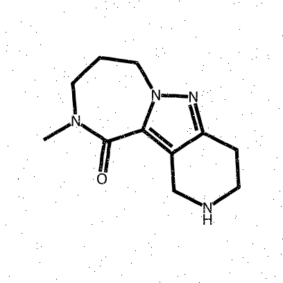 CN1CCCn2nc3c(c2C1=O)CNCC3